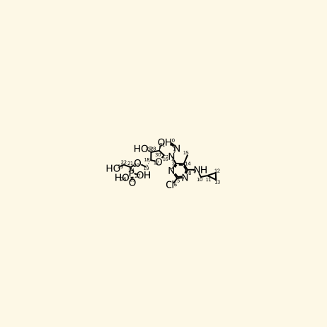 C=NN(c1nc(Cl)nc(NCC2CC2)c1C)[C@@H]1O[C@H](COC(CO)P(=O)(O)O)[C@@H](O)[C@H]1O